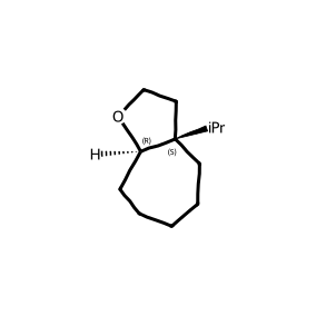 CC(C)[C@@]12CCCCC[C@H]1OCC2